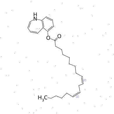 CCCCC/C=C\C/C=C\CCCCCCCC(=O)Oc1cccc2c1C=CC=CN2